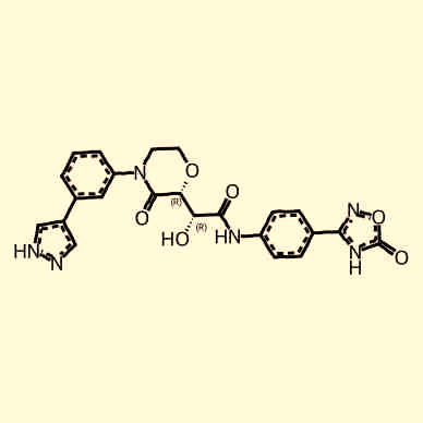 O=C(Nc1ccc(-c2noc(=O)[nH]2)cc1)[C@H](O)[C@H]1OCCN(c2cccc(-c3cn[nH]c3)c2)C1=O